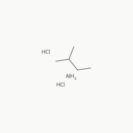 CCC(C)C.Cl.Cl.[AlH3]